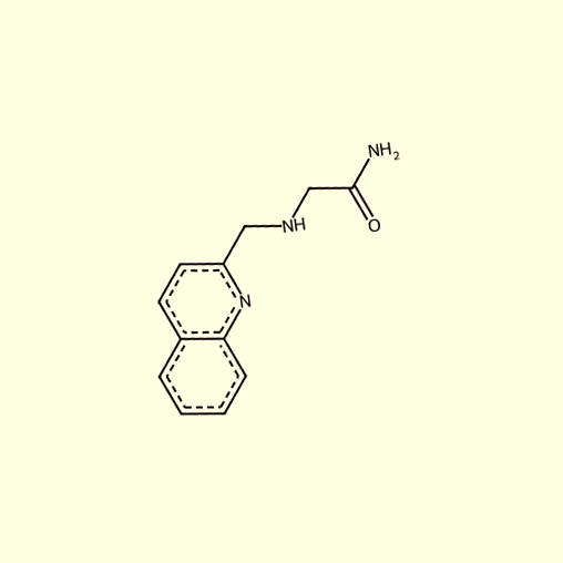 NC(=O)CNCc1ccc2ccccc2n1